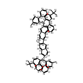 Cc1ccc(-c2ccccc2)c(N(c2ccc3cc4c(cc3c2)oc2cc3cc(N(c5ccc(C(C)(C)C)cc5-c5ccccc5)c5cc(C)ccc5-c5ccccc5)ccc3cc24)c2ccc(C(C)(C)C)cc2-c2ccccc2)c1